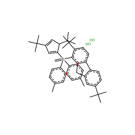 Cl.Cl.[CH2]=[Zr]([C]1=CC(C(C)(C)C)=CC1C(C)C)([c]1ccc(C)cc1)([c]1ccc(C)cc1)[c]1c(C(C)(C)C)ccc2c1Cc1cc(C(C)(C)C)ccc1-2